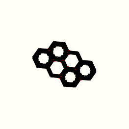 c1ccc2c(c1)C1CC34c5ccccc5C(CC23c2ccccc21)c1ccccc14